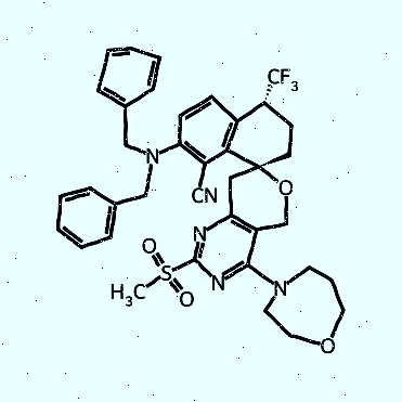 CS(=O)(=O)c1nc2c(c(N3CCCOCC3)n1)CO[C@]1(CC[C@@H](C(F)(F)F)c3ccc(N(Cc4ccccc4)Cc4ccccc4)c(C#N)c31)C2